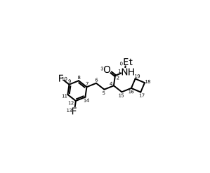 CCNC(=O)C(CCc1cc(F)cc(F)c1)CC1CCC1